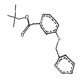 CC(C)(C)OC(=O)c1[c]ccc(OCc2ccccc2)c1